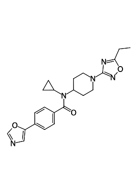 CCc1nc(N2CCC(N(C(=O)c3ccc(-c4cnco4)cc3)C3CC3)CC2)no1